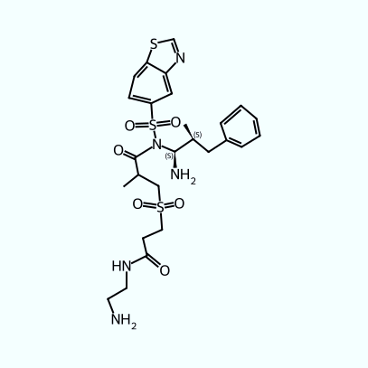 CC(CS(=O)(=O)CCC(=O)NCCN)C(=O)N([C@H](N)[C@@H](C)Cc1ccccc1)S(=O)(=O)c1ccc2scnc2c1